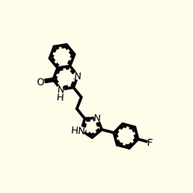 O=c1[nH]c(CCc2nc(-c3ccc(F)cc3)c[nH]2)nc2ccccc12